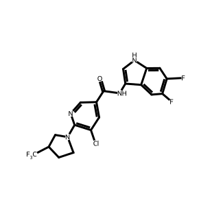 O=C(Nc1c[nH]c2cc(F)c(F)cc12)c1cnc(N2CCC(C(F)(F)F)C2)c(Cl)c1